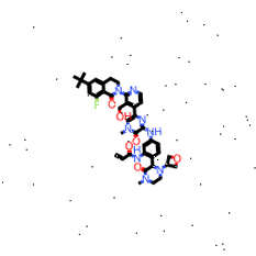 C=CC(=O)Nc1cc(Nc2nc(-c3ccnc(N4CCc5cc(C(C)(C)C)cc(F)c5C4=O)c3CO)cn(C)c2=O)ccc1C1C(=O)N(C)CCN1C1COC1